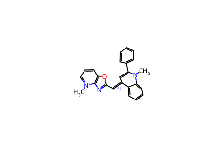 CN1C(c2ccccc2)=C/C(=C\c2nc3c(ccc[n+]3C)o2)c2ccccc21